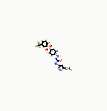 Cc1cc(NC(=O)CN[C@H]2CC[C@@H](S(=O)(=O)c3cccc(C(F)(F)F)c3)CC2)on1